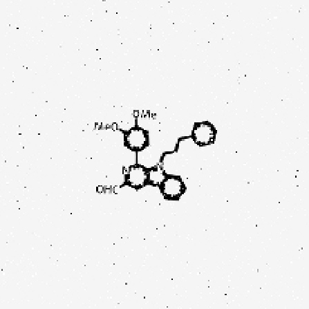 COc1ccc(-c2nc(C=O)cc3c4ccccc4n(CCCc4ccccc4)c23)cc1OC